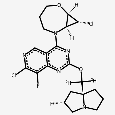 [2H]C([2H])(Oc1nc(N2CCCO[C@H]3[C@H](Cl)[C@H]32)c2cnc(Cl)c(F)c2n1)[C@@]12CCCN1C[C@H](F)C2